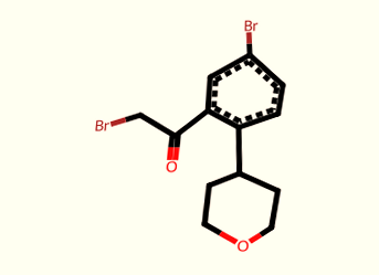 O=C(CBr)c1cc(Br)ccc1C1CCOCC1